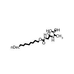 CCCCCCCCCCCCCCCCCCOC(=O)NCC(=O)NC(C)P(O)O